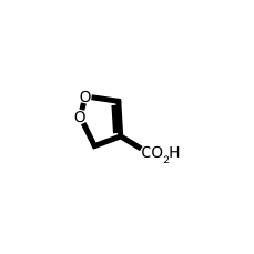 O=C(O)C1=COOC1